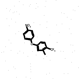 Cc1cc(Oc2ccc([N+](=O)[O-])cc2)ccc1C(F)(F)F